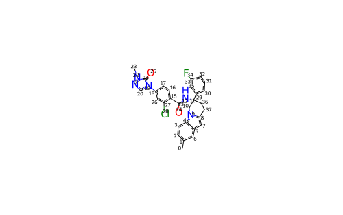 Cc1ccc2c(c1)cc1n2C[C@@](NC(=O)c2ccc(-n3cnn(C)c3=O)cc2Cl)(c2cccc(F)c2)CC1